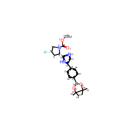 CC(C)(C)OC(=O)N1C[C@@H](F)C[C@H]1c1ncc(-c2ccc(B3OC(C)(C)C(C)(C)O3)cc2)[nH]1